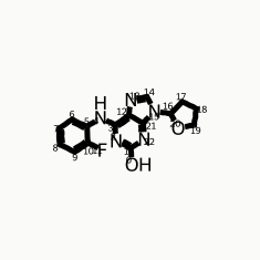 Oc1nc(Nc2ccccc2F)c2ncn(C3CCCO3)c2n1